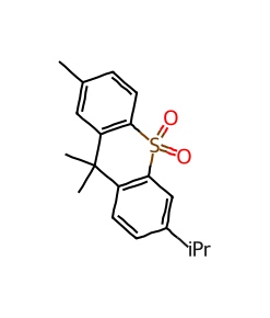 Cc1ccc2c(c1)C(C)(C)c1ccc(C(C)C)cc1S2(=O)=O